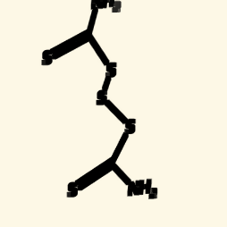 NC(=S)SSSC(N)=S